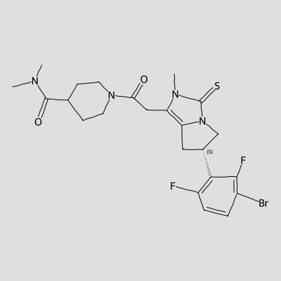 CN(C)C(=O)C1CCN(C(=O)Cc2c3n(c(=S)n2C)C[C@H](c2c(F)ccc(Br)c2F)C3)CC1